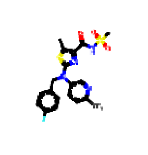 Cc1sc(N(Cc2ccc(F)cc2)c2ccc(C(F)(F)F)nc2)nc1C(=O)NS(C)(=O)=O